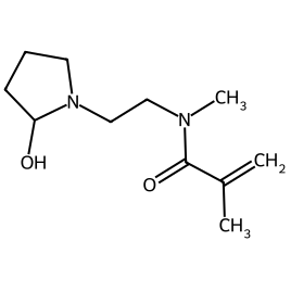 C=C(C)C(=O)N(C)CCN1CCCC1O